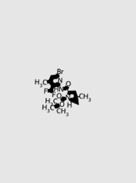 Cc1cc(Br)nc(NC(=O)[C@@H]2C[C@@]3(C)C[C@H]3N2C(=O)OC(C)(C)C)c1C(F)F